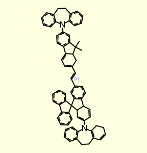 CC1(C)c2cc(N3c4ccccc4CCc4ccccc43)ccc2C2=CC=C(/C=C/c3ccc4c(c3)C3(c5ccccc5-c5ccccc53)C3C=C(N5C6=C(C=CCC6)CCc6ccccc65)C=CC43)CC21